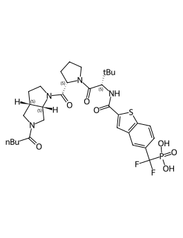 CCCCC(=O)N1C[C@@H]2CCN(C(=O)[C@@H]3CCCN3C(=O)[C@@H](NC(=O)c3cc4cc(C(F)(F)P(=O)(O)O)ccc4s3)C(C)(C)C)[C@@H]2C1